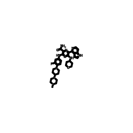 CN1CCN(C2CCN(c3ccc(Nc4nc(NC5CCOCC5)c(-c5nccc6[nH]ccc56)nc4C(N)=O)cc3F)CC2)CC1